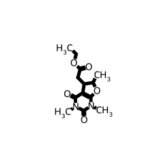 CCOC(=O)CC1c2c(n(C)c(=O)n(C)c2=O)OC1C